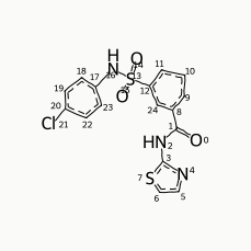 O=C(Nc1nccs1)c1cccc(S(=O)(=O)Nc2ccc(Cl)cc2)c1